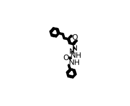 O=C(NCc1ccccc1)NN=NC1=COCC(CCc2ccccc2)=C1